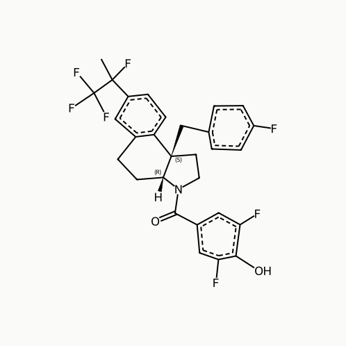 CC(F)(c1ccc2c(c1)CC[C@H]1N(C(=O)c3cc(F)c(O)c(F)c3)CC[C@@]21Cc1ccc(F)cc1)C(F)(F)F